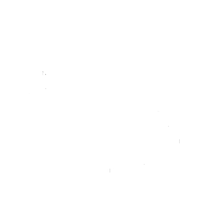 O=C(O)c1cc(-c2ccc(C(=O)N3CCCC3)cc2)ccc1OC(F)(F)F